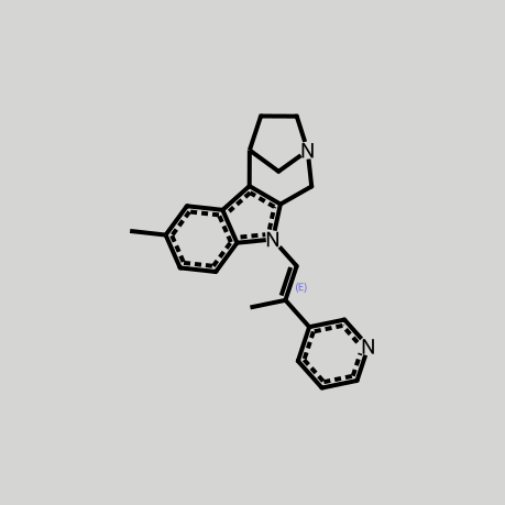 C/C(=C\n1c2c(c3cc(C)ccc31)C1CCN(C2)C1)c1cccnc1